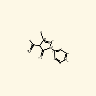 CC(=O)C1C(=O)N(c2ccncc2)N=C1C